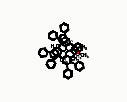 CC1=C(C)C(C)C([Si](c2c(-c3ccccc3)cc(-c3ccccc3)c(-c3ccccc3)c2C)(c2c(-c3ccccc3)cc(-c3ccccc3)c(-c3ccccc3)c2C)c2c(-c3ccccc3)cc(-c3ccccc3)c(-c3ccccc3)c2C)=C1C